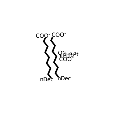 CCCCCCCCCCCCCCCCCC(=O)[O-].CCCCCCCCCCCCCCCCCC(=O)[O-].O=C([O-])[O-].[Pb+2].[Pb+2]